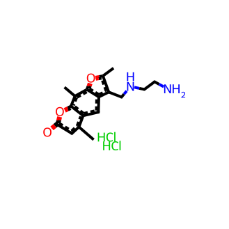 Cc1oc2c(C)c3oc(=O)cc(C)c3cc2c1CNCCN.Cl.Cl